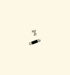 O=[Si].[Hf].[Zr]